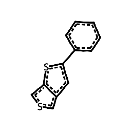 c1ccc(-c2cc3cscc3s2)cc1